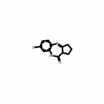 O=C1Nc2cc(Cl)ccc2N=C2CCCC12